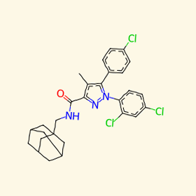 Cc1c(C(=O)NCC23CC4CC(CC(C4)C2)C3)nn(-c2ccc(Cl)cc2Cl)c1-c1ccc(Cl)cc1